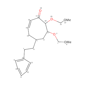 COCOC1CC(CCc2ccccc2)CC=CC(=O)C1OCOC